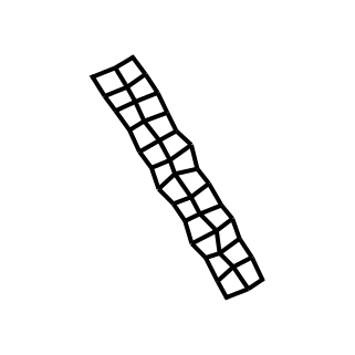 C1C2CC3C4C5C6C7C8C9C%10C%11C%12C%13CC%14CC%15C%16C%17C%18C%19C%20C%21C%22C%23C%24C1C23C%244C%235C%226C%217C%208C%199C%18%10C%17%11C%16%12C%14%15%13